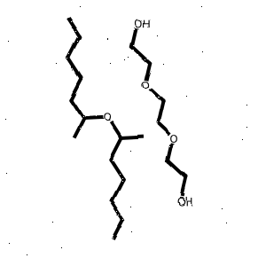 CCCCCC(C)OC(C)CCCCC.OCCOCCOCCO